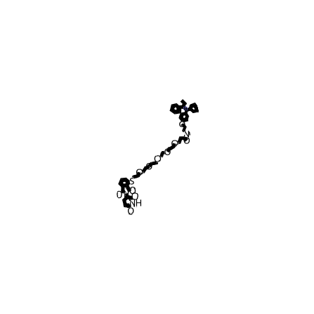 CC/C(=C(\c1ccccc1)c1ccc(OCCN(C)C(=O)CCOCCOCCOCCOCCOCCSc2cccc3c2C(=O)N(C2CCC(=O)NC2=O)C3=O)cc1)c1ccccc1